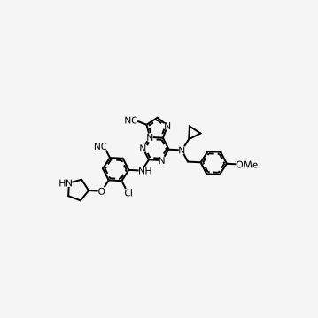 COc1ccc(CN(c2nc(Nc3cc(C#N)cc(OC4CCNC4)c3Cl)nn3c(C#N)cnc23)C2CC2)cc1